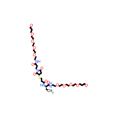 CC[C@@H](NC(=O)CCSC1CC(=O)N(CCC(=O)NCCOCCOCCOCCOCCC=O)C1=O)C(=O)NCCOCCOCCOCCOCCC=O